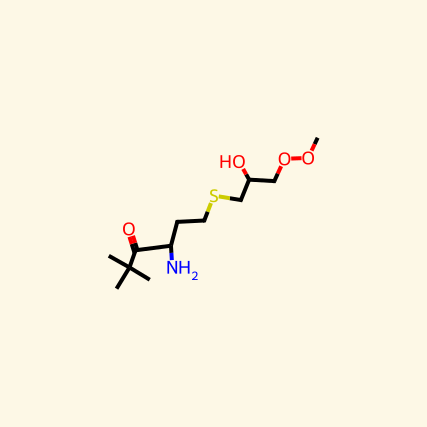 COOCC(O)CSCCC(N)C(=O)C(C)(C)C